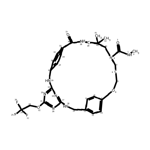 CNC(=O)N1CCCOc2ccc(cc2)CNc2nc(nc(OCC(F)(F)F)n2)Nc2ccc(cc2)C(=O)NCC(C)(C)C1